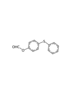 O=COc1ccc(Sc2ccccc2)cc1